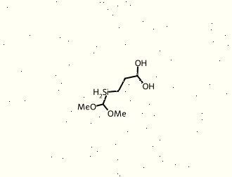 COC(OC)[SiH2]CCC(O)O